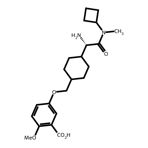 COc1ccc(OCC2CCC([C@H](N)C(=O)N(C)C3CCC3)CC2)cc1C(=O)O